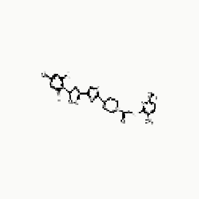 Cc1ccc(C(F)(F)F)c(OCC(=O)N2CCC(c3nc(C4=NOC(c5c(Cl)cc(Cl)cc5Cl)C4)cs3)CC2)n1